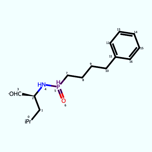 CC(C)C[C@@H]([C]=O)N[PH](=O)CCCCc1ccccc1